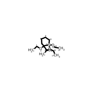 CCOC1(C(C)=O)CCCC[Si]1(OCC)OCC